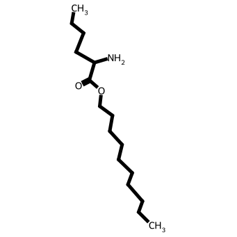 CCCCCCCCCCOC(=O)C(N)CCCC